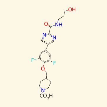 O=C(NCCCO)c1ncc(-c2cc(F)c(OCC3CCN(C(=O)O)CC3)c(F)c2)cn1